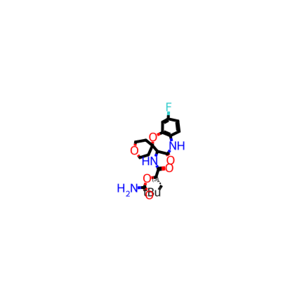 CC(C)(C)C[C@H](OC(N)=O)C(=O)NC1C(=O)Nc2ccc(F)cc2OC12CCOCC2